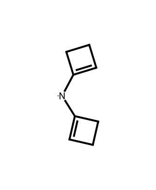 C1=C([N]C2=CCC2)CC1